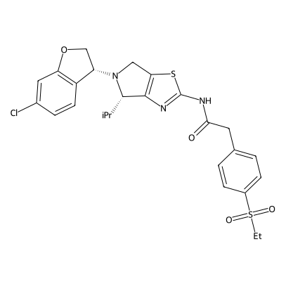 CCS(=O)(=O)c1ccc(CC(=O)Nc2nc3c(s2)CN([C@H]2COc4cc(Cl)ccc42)[C@H]3C(C)C)cc1